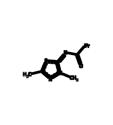 Cc1nn(C)/c(=N\C(=O)C(C)C)s1